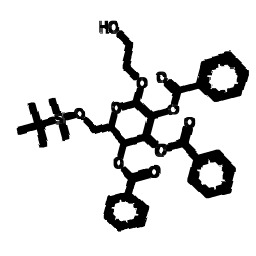 CC(C)(C)[Si](C)(C)OCC1OC(OCCO)C(OC(=O)c2ccccc2)C(OC(=O)c2ccccc2)C1OC(=O)c1ccccc1